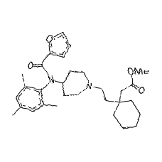 COC(=O)CC1(CCN2CCC(N(C(=O)c3ccco3)c3c(C)cc(C)cc3C)CC2)CCCCC1